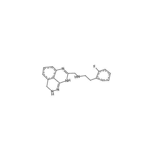 Fc1ccccc1CCNCC1=Nc2cccc3c2C(=NNC3)N1